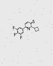 Fc1cc(C2=NC(C3CCC3)C(=S)C=C2)cc(F)c1F